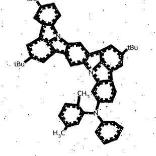 Cc1ccc(C)c(N(c2ccccc2)c2ccc3c4cc(C(C)(C)C)cc5c6cc7c(cc6n(c3c2)c45)c2cc(C(C)(C)C)cc3c4cc(C(C)(C)C)ccc4n7c32)c1